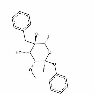 CO[C@@H]1[C@H](O)[C@](O)(Cc2ccccc2)[C@H](C)O[C@@]1(I)Oc1ccccc1